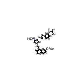 COc1ccc2ncc(F)c(CCN3C/C(=N\O)[C@H](CNCc4ccc5c(n4)NC(=O)CS5)C3)c2n1